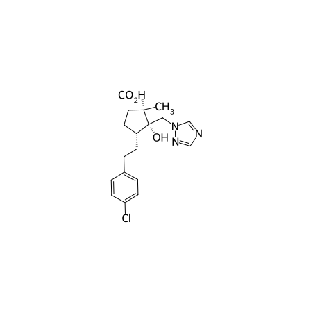 C[C@]1(C(=O)O)CC[C@@H](CCc2ccc(Cl)cc2)[C@]1(O)Cn1cncn1